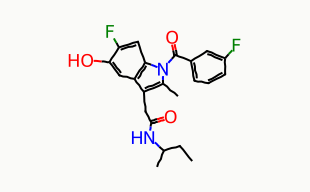 CCC(C)NC(=O)Cc1c(C)n(C(=O)c2cccc(F)c2)c2cc(F)c(O)cc12